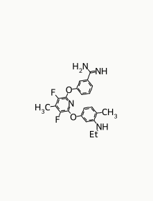 CCNc1cc(Oc2nc(Oc3cccc(C(=N)N)c3)c(F)c(C)c2F)ccc1C